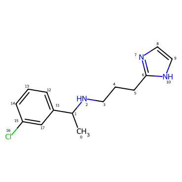 CC(NCCCc1ncc[nH]1)c1cccc(Cl)c1